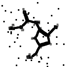 CC(C)(C)Cc1cc(Br)c(NC(=O)OC(C)(C)C)s1